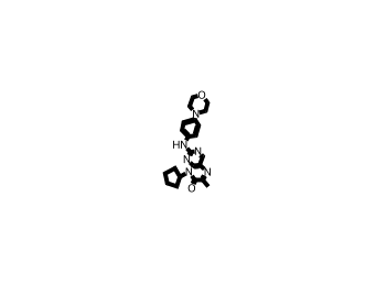 Cc1nc2cnc(Nc3ccc(N4CCOCC4)cc3)nc2n(C2CCCC2)c1=O